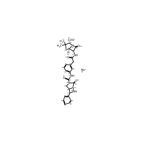 CC1(C)S[C@@H]2[C@H](NC(=O)Cc3cccc(NC(=O)N4CC5C(c6ccccc6)NN5C4=O)c3)C(=O)N2[C@H]1C(=O)[O-].[Na+]